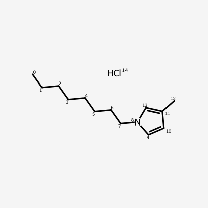 CCCCCCCCn1ccc(C)c1.Cl